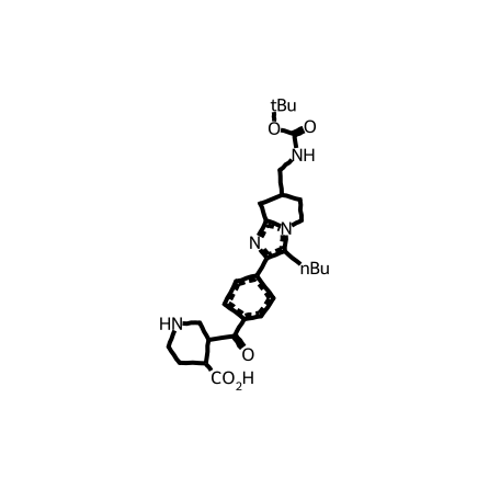 CCCCc1c(-c2ccc(C(=O)C3CNCCC3C(=O)O)cc2)nc2n1CCC(CNC(=O)OC(C)(C)C)C2